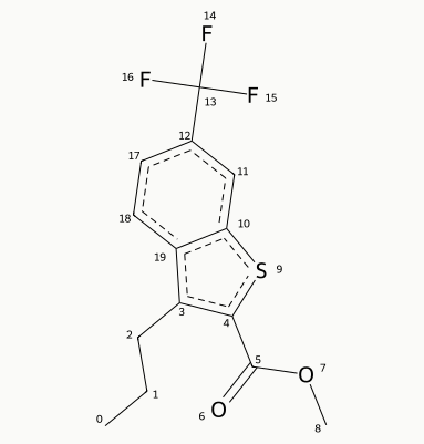 CCCc1c(C(=O)OC)sc2cc(C(F)(F)F)ccc12